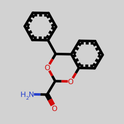 NC(=O)C1Oc2ccccc2C(c2ccccc2)O1